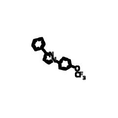 FC(F)(F)Oc1ccc(-n2ccc(-c3ccccc3)n2)cc1